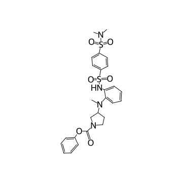 CN(c1ccccc1NS(=O)(=O)c1ccc(S(=O)(=O)N(C)C)cc1)C1CCN(C(=O)Oc2ccccc2)C1